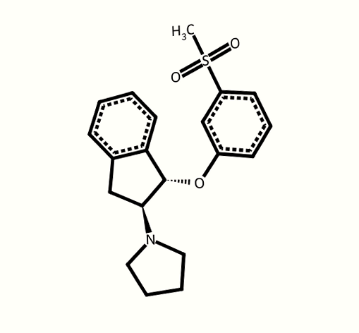 CS(=O)(=O)c1cccc(O[C@H]2c3ccccc3C[C@@H]2N2CCCC2)c1